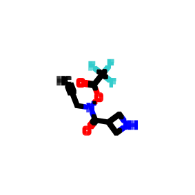 C#CCN(OC(=O)C(F)(F)F)C(=O)C1CNC1